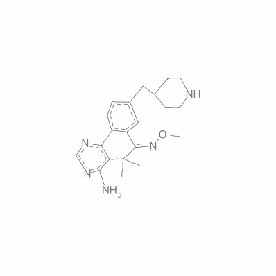 CO/N=C1\c2cc(CC3CCNCC3)ccc2-c2ncnc(N)c2C1(C)C